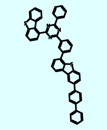 c1ccc(-c2ccc(-c3ccc4sc5c(-c6cccc(-c7nc(-c8ccccc8)nc(-c8cccc9sc%10ccccc%10c89)n7)c6)cccc5c4c3)cc2)cc1